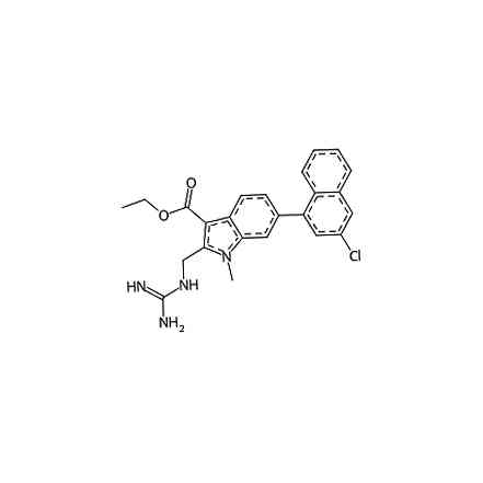 CCOC(=O)c1c(CNC(=N)N)n(C)c2cc(-c3cc(Cl)cc4ccccc34)ccc12